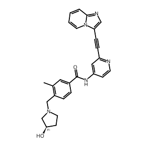 Cc1cc(C(=O)Nc2ccnc(C#Cc3cnc4ccccn34)c2)ccc1CN1CC[C@@H](O)C1